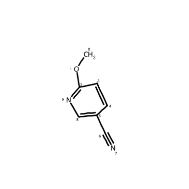 COc1[c]cc(C#N)cn1